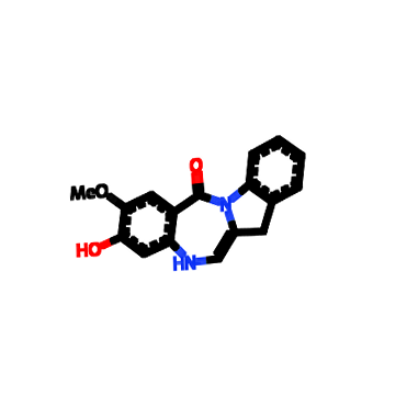 COc1cc2c(cc1O)NC=C1Cc3ccccc3N1C2=O